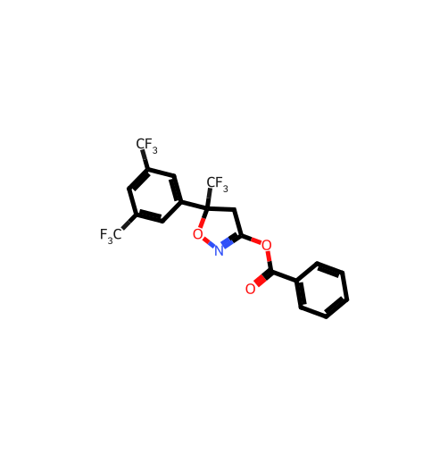 O=C(OC1=NOC(c2cc(C(F)(F)F)cc(C(F)(F)F)c2)(C(F)(F)F)C1)c1ccccc1